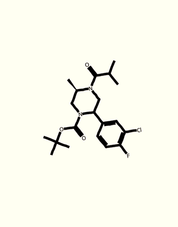 CC(C)C(=O)N1CC(c2ccc(F)c(Cl)c2)N(C(=O)OC(C)(C)C)C[C@H]1C